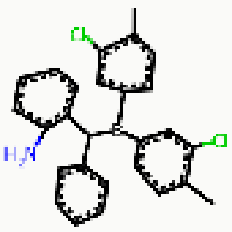 Cc1ccc(B(c2ccc(C)c(Cl)c2)C(c2ccccc2)c2ccccc2N)cc1Cl